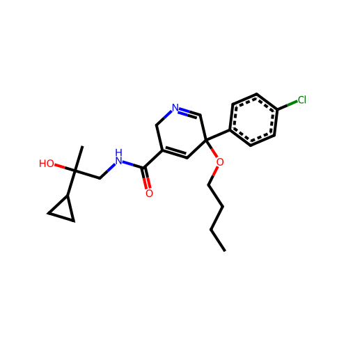 CCCCOC1(c2ccc(Cl)cc2)C=NCC(C(=O)NCC(C)(O)C2CC2)=C1